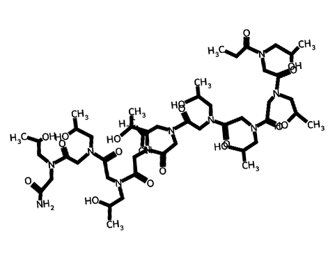 CCC(=O)N(CC(=O)N(CC(=O)N(CC(=O)N(CC(=O)N(CC(=O)N(CC(=O)N(CC(=O)N(CC(=O)N(CC(N)=O)CC(C)O)CC(C)O)CC(C)O)CC(C)O)CC(C)O)CC(C)O)CC(C)O)CC(C)O)CC(C)O